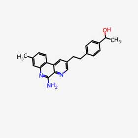 Cc1ccc2c(c1)nc(N)c1ncc(CCc3ccc(C(C)O)cc3)cc12